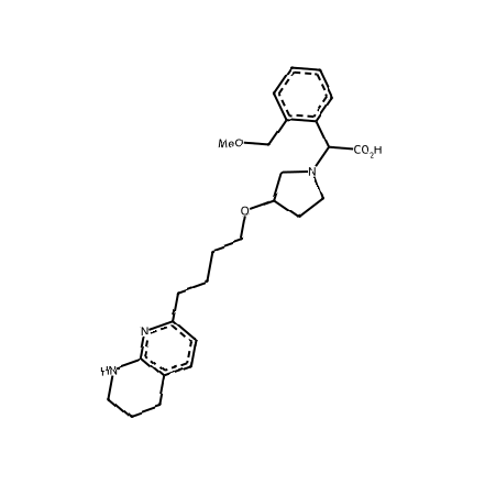 COCc1ccccc1C(C(=O)O)N1CCC(OCCCCc2ccc3c(n2)NCCC3)C1